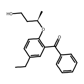 CCc1ccc(O[C@H](C)CCO)c(C(=O)c2ccccc2)c1